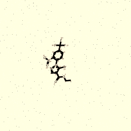 CCOC(=O)c1cnn(-c2ccc(C(F)(F)F)cc2[N+](=O)[O-])c1Br